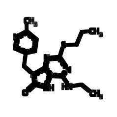 CCCSc1nc(NCC)c2[nH]c(=O)n(Cc3ccc(C)nc3)c2n1